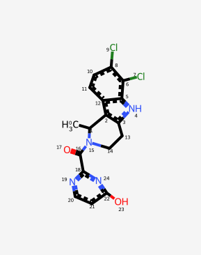 CC1c2c([nH]c3c(Cl)c(Cl)ccc23)CCN1C(=O)c1nccc(O)n1